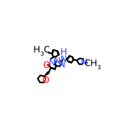 CCc1ccccc1Cn1c(=O)c(C#CC2CCCCO2)cc2cnc(Nc3ccc(C4CCN(C)CC4)cc3)nc21